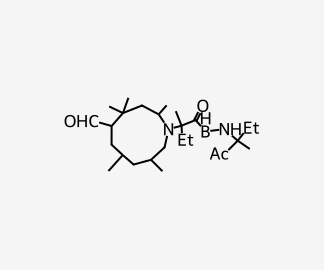 CCC(C)(NBC(=O)C(C)(CC)N1CC(C)CC(C)CC(C=O)C(C)(C)CC1C)C(C)=O